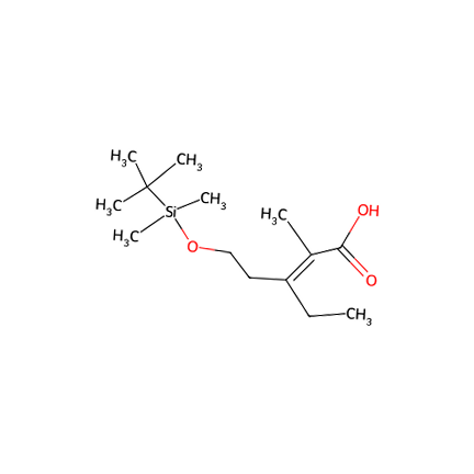 CCC(CCO[Si](C)(C)C(C)(C)C)=C(C)C(=O)O